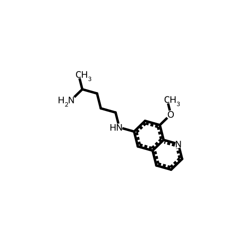 COc1cc(NCCCC(C)N)cc2cccnc12